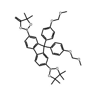 C=C1OB(c2ccc3c(c2)C(c2ccc(OCOC)cc2)(c2ccc(OCOC)cc2)c2cc(B4OC(C)(C)C(C)(C)O4)ccc2-3)OC1(C)C